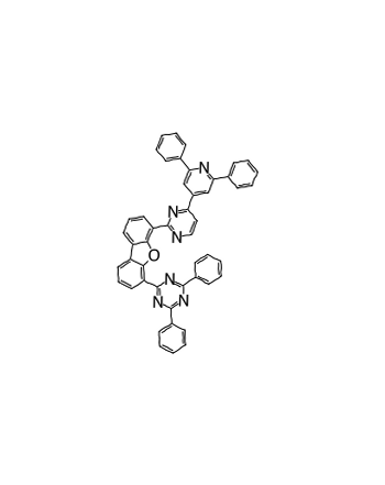 c1ccc(-c2cc(-c3ccnc(-c4cccc5c4oc4c(-c6nc(-c7ccccc7)nc(-c7ccccc7)n6)cccc45)n3)cc(-c3ccccc3)n2)cc1